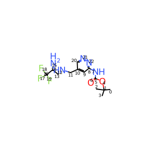 CC(C)(C)OC(=O)Nc1cc(CNC[C@H](N)C(F)(F)F)cnn1